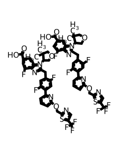 CC1(C)COCC1n1c(Cc2cc(F)c(-c3cccc(OCc4ncc(C(F)(F)F)s4)n3)cc2F)nc2c(F)cc(C(=O)O)cc21.CC1(C)COCC1n1c(Cc2cc(F)c(-c3cccc(OCc4ncc(C(F)(F)F)s4)n3)cc2F)nc2c(F)cc(C(=O)O)cc21